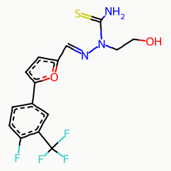 NC(=S)N(CCO)N=Cc1ccc(-c2ccc(F)c(C(F)(F)F)c2)o1